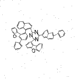 c1ccc(-c2ccc3cc(-c4nc(-c5ccc6ccccc6c5-c5ccc(-c6ccccc6)c6oc7ccccc7c56)nc(-c5cccc6oc7ccccc7c56)n4)ccc3c2)cc1